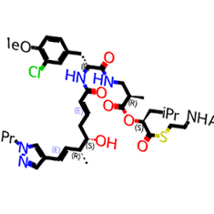 COc1ccc(C[C@@H](NC(=O)/C=C/C[C@H](O)[C@H](C)/C=C/c2cnn(C(C)C)c2)C(=O)NC[C@@H](C)C(=O)O[C@@H](CC(C)C)C(=O)SCCNC(C)=O)cc1Cl